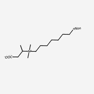 CCCCCCCCCCCCCCCC[N+](C)(C)C(C)CC(=O)[O-]